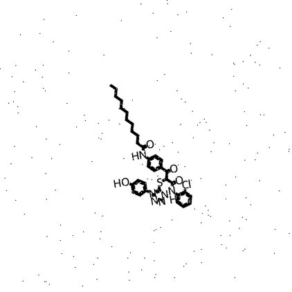 CCCCCCCCCCCC(=O)Nc1ccc(C(=O)C(Sc2nnnn2-c2ccc(O)cc2)C(=O)Nc2ccccc2Cl)cc1